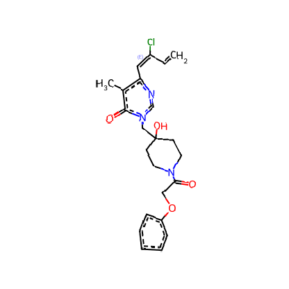 C=C/C(Cl)=C\c1ncn(CC2(O)CCN(C(=O)COc3ccccc3)CC2)c(=O)c1C